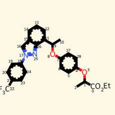 CCOC(=O)C(C)Oc1ccc(OC(C)c2cccc3cn(-c4ccc(C(F)(F)F)cc4)nc23)cc1